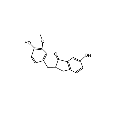 COc1cc(CC2Cc3ccc(O)cc3C2=O)ccc1O